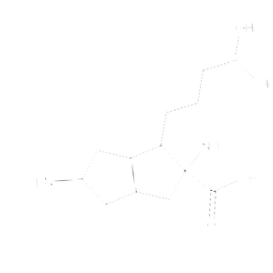 NC1CC2CC(N)(C(=O)O)C(CCCB(O)O)[C@@H]2C1